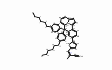 CCCCCCc1ccc(C2(c3ccc(CCCCCC)cc3)c3cc(-c4ccc(/C=C(/C)C#N)s4)ccc3-c3ccc4cccc2n34)cc1